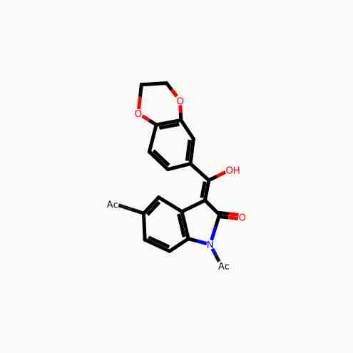 CC(=O)c1ccc2c(c1)/C(=C(/O)c1ccc3c(c1)OCCO3)C(=O)N2C(C)=O